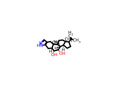 C=C(C)C1CC[C@H]2[C@@H]3[C@@H](O)[C@H](O)[C@H]4Cc5[nH]ncc5C[C@]4(C)[C@H]3CC[C@]12C